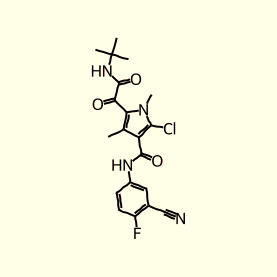 Cc1c(C(=O)Nc2ccc(F)c(C#N)c2)c(Cl)n(C)c1C(=O)C(=O)NC(C)(C)C